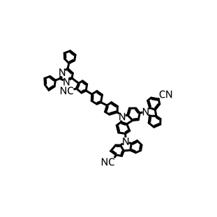 N#Cc1ccc2c(c1)c1ccccc1n2-c1ccc2c(c1)c1cc(-n3c4ccccc4c4cc(C#N)ccc43)ccc1n2-c1ccc(-c2ccc(-c3ccc(-c4cc(-c5ccccc5)nc(-c5ccccc5)n4)c(C#N)c3)cc2)cc1